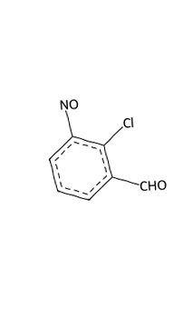 O=Cc1cccc(N=O)c1Cl